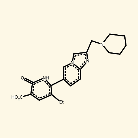 CCc1cc(C(=O)O)c(=O)[nH]c1-c1ccc2nc(CN3CCCCC3)cn2c1